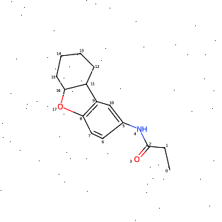 CCC(=O)Nc1ccc2c(c1)C1CCCCC1O2